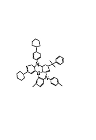 Cc1ccc(N2C3=CC(C(C)(C)c4ccccc4)CC4C3B(C3=CC(C5CCCCC5)=CCC3N4C3=CCC(C4CCCCC4)C=C3)c3cc(C)ccc32)cc1